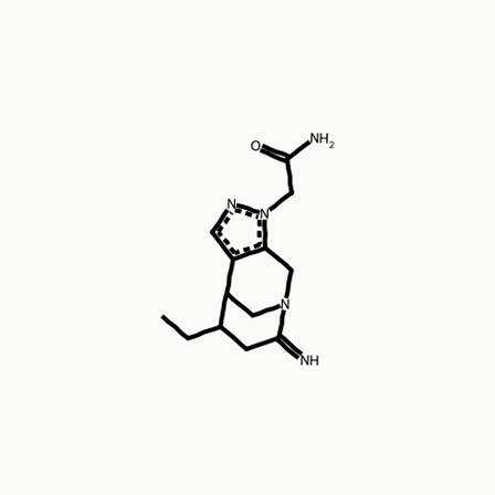 CCC1CC(=N)N2Cc3c(cnn3CC(N)=O)C1C2